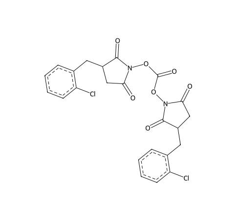 O=C(ON1C(=O)CC(Cc2ccccc2Cl)C1=O)ON1C(=O)CC(Cc2ccccc2Cl)C1=O